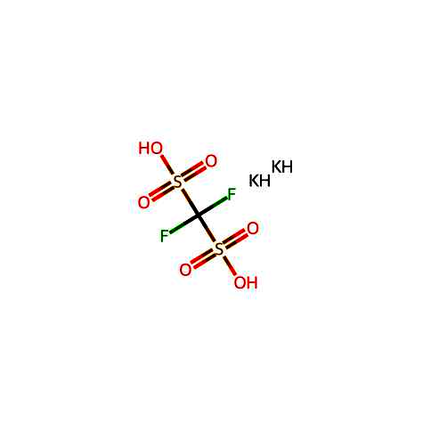 O=S(=O)(O)C(F)(F)S(=O)(=O)O.[KH].[KH]